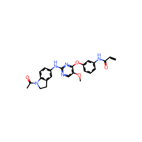 C=CC(=O)Nc1cccc(Oc2nc(Nc3ccc4c(c3)CCN4C(C)=O)ncc2OC)c1